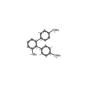 COc1ccc(-c2[c]ccc(C(C)(C)C)c2-c2ccc(OC)cc2)cc1